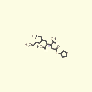 CCCCC(CC)C/C(C(=O)O)=C(/CC(=O)OC1CCCC1)C(=O)O